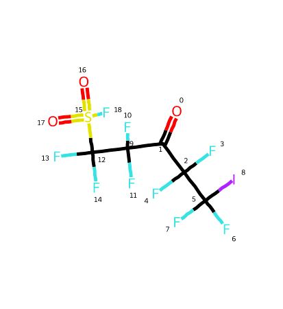 O=C(C(F)(F)C(F)(F)I)C(F)(F)C(F)(F)S(=O)(=O)F